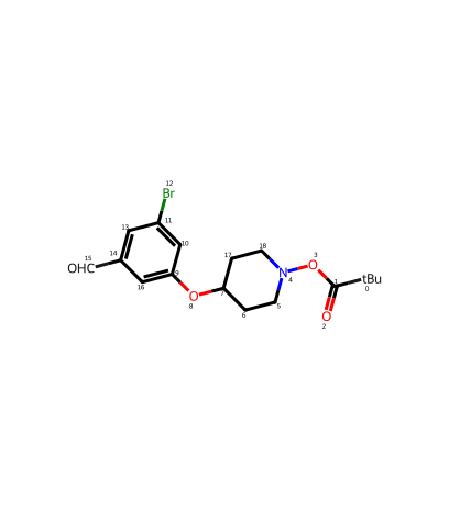 CC(C)(C)C(=O)ON1CCC(Oc2cc(Br)cc(C=O)c2)CC1